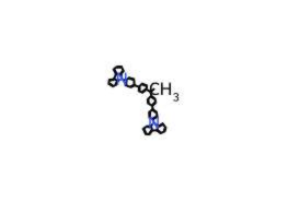 CC(c1ccc(-c2ccc(-n3c4ccccc4c4ccccc43)cc2)cc1)c1ccc(-c2ccc(-n3c4ccccc4c4ccccc43)cc2)cc1